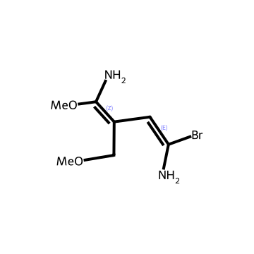 COCC(/C=C(\N)Br)=C(/N)OC